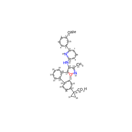 COc1cccc(-c2cccc(Nc3c(C)noc3-c3ccccc3-c3ccc(C4(C(=O)O)CC4)cc3)n2)c1